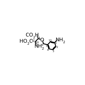 Nc1cccc(CO[C@H](C(=O)O)[C@H](N)C(=O)O)c1